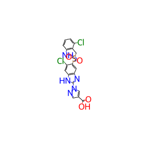 Nc1cccc(Cl)c1CS(=O)(=O)c1cc2nc(-n3cc(C(=O)O)cn3)[nH]c2cc1Cl